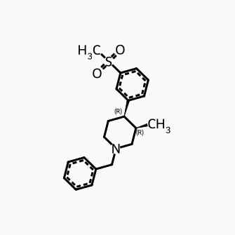 C[C@H]1CN(Cc2ccccc2)CC[C@H]1c1cccc(S(C)(=O)=O)c1